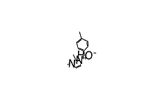 Cc1ccc(C[n+]2ccn(C)c2C)cc1.[OH-]